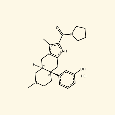 Cc1c(C(=O)N2CCCC2)[nH]c2c1C[C@@H]1CN(C)CC[C@@]1(c1cccc(O)c1)C2.Cl